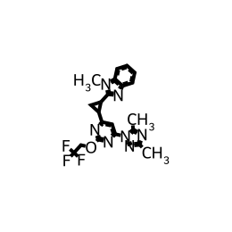 Cc1nc(C)n(-c2cc(C3CC3c3nc4ccccc4n3C)nc(OCC(F)(F)F)n2)n1